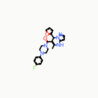 CC1=C(C(=O)N2CCN(c3ccc(F)cc3)CC2)C(c2ccco2)n2nccc2N1